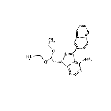 CCOC(Cn1nc(-c2ccc3ncccc3c2)c2c(N)ncnc21)OCC